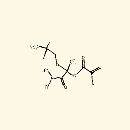 C=C(F)C(=O)OC(OCC(F)(F)S(=O)(=O)O)(C(=O)N(C(C)C)C(C)C)C(F)(F)F